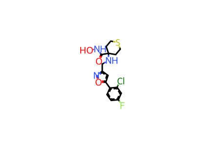 O=C(NO)C1(NCc2cc(-c3ccc(F)cc3Cl)on2)CCSCC1